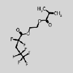 C=C(C)C(=O)OCCOC(=O)C(F)(F)CC(F)(F)C(F)(F)F